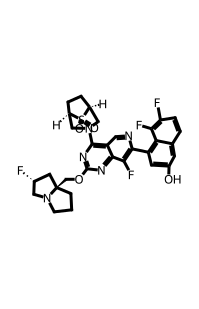 O=S1(=O)[C@@H]2CC[C@H]1CN(c1nc(OC[C@@]34CCCN3C[C@H](F)C4)nc3c(F)c(-c4cc(O)cc5ccc(F)c(F)c45)ncc13)C2